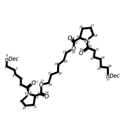 CCCCCCCCCCCCCCCC(=O)N1CCCC1C(=O)OCCCCCCOC(=O)C1CCCN1C(=O)CCCCCCCCCCCCCCC